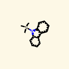 C[Si](C)(C)n1c2ccccc2c2ccccc21